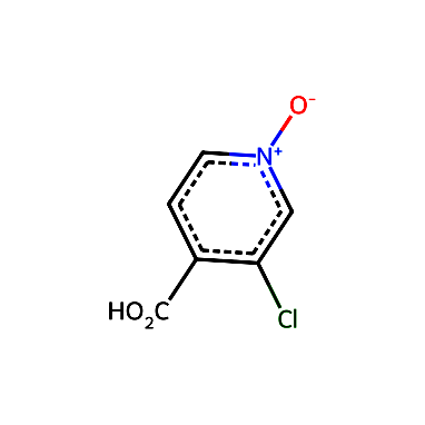 O=C(O)c1cc[n+]([O-])cc1Cl